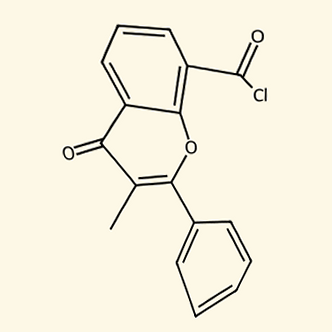 Cc1c(-c2ccccc2)oc2c(C(=O)Cl)cccc2c1=O